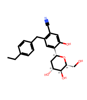 CCc1ccc(Cc2cc([C@H]3C[C@@H](O)[C@H](O)[C@@H](CO)O3)c(O)cc2C#N)cc1